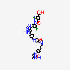 C=C1CCN(c2ccc(CCCN3CCOC4(CCN(Cc5ccc(-c6cc7c(-c8cc(F)cc(NC(=O)c9ccc(C(C)(C)O)cc9F)c8C)ncnc7[nH]6)cc5)CC4)C3)cc2)C(=O)N1